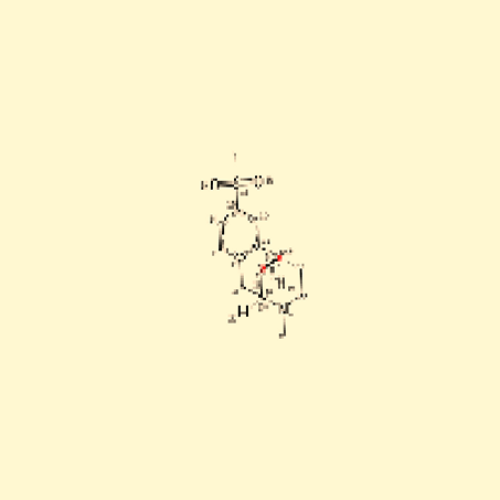 CN1CC[C@@]23CCCC[C@@H]2[C@@H]1Cc1ccc(S(C)(=O)=O)cc13